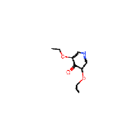 CCOC1=CN=CC(OCC)C1=O